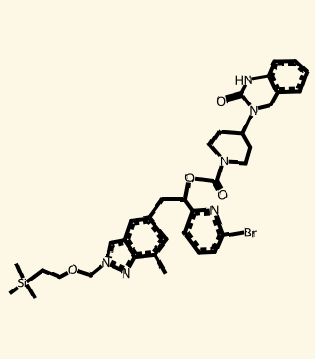 Cc1cc(CC(OC(=O)N2CCC(N3Cc4ccccc4NC3=O)CC2)c2cccc(Br)n2)cc2cn(COCC[Si](C)(C)C)nc12